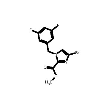 COC(=O)c1nc(Br)cn1Cc1cc(F)cc(F)c1